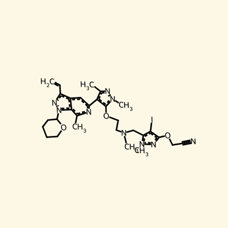 C=Cc1nn(C2CCCCO2)c2c(C)nc(-c3c(C)nn(C)c3OCCN(C)Cc3c(I)c(OCC#N)nn3C)cc12